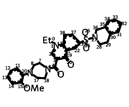 CCn1cc(C(=O)N2CCN(c3ccccc3OC)CC2)c(=O)c2cc(S(=O)(=O)N3CCc4ccccc4C3)ccc21